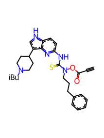 C#CC(=O)ON(CCCc1ccccc1)C(=S)Nc1ccc2[nH]cc(C3CCN(C(C)CC)CC3)c2n1